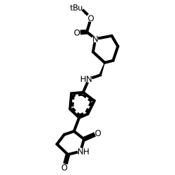 CC(C)(C)OC(=O)N1CCC[C@@H](CNc2ccc(C3CCC(=O)NC3=O)cc2)C1